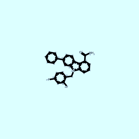 NC(=O)c1cccc2c1c1[c]cc(-c3ccccc3)cc1n2Cc1ccc(F)cc1F